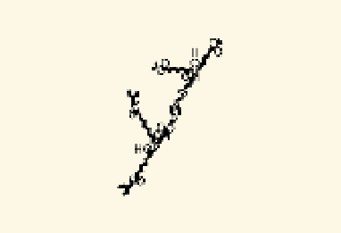 CCC(CC)COC(=O)CCCCCCC(O)CN(CCCC(=O)OCCN1CCN(CCSSCCCCN(CC(O)CCCCC(=O)OC(C)C)CC(O)CCCCC(=O)OC(C)C)CC1)CC(O)CCCCCCC(=O)OCC(CC)CC